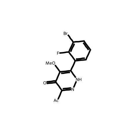 COc1c(-c2cccc(Br)c2F)[nH]nc(C(C)=O)c1=O